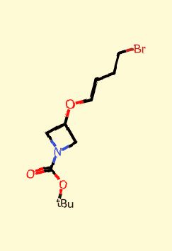 CC(C)(C)OC(=O)N1CC(OCCCCBr)C1